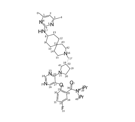 Cc1cc(C)nc(NC2CCC3(CC2)CCN(C[C@@H]2CCN(c4ncncc4Oc4ccc(F)cc4C(=O)N(C(C)C)C(C)C)C2)CC3)n1